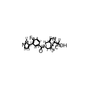 C[C@H]1CN(C(=O)c2ccc(F)c(-c3ccnn3C)c2)Cc2cnc([C@@](C)(O)C(F)(F)F)n21